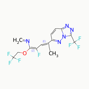 C=N/C(OCC(F)(F)F)=C(F)\C=C(/C)c1ccc2nnc(C(F)(F)F)n2n1